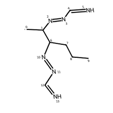 [CH2]C(N=NC=N)C(CCC)N=NC=N